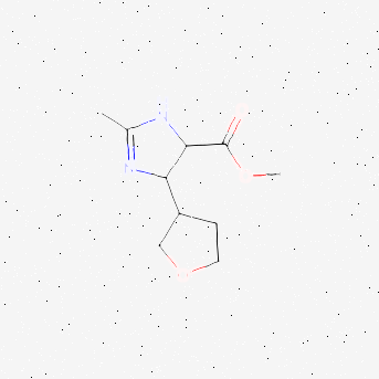 COC(=O)C1NC(C)=NC1C1CCOC1